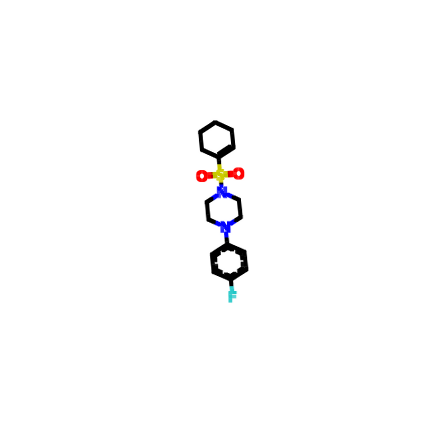 O=S(=O)(C1=CCCCC1)N1CCN(c2ccc(F)cc2)CC1